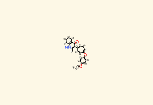 Cc1[nH]c2c(c(=O)c1C1=CCC=C(Oc3ccc(OC(F)(F)F)cc3)C=C1)CCCC2